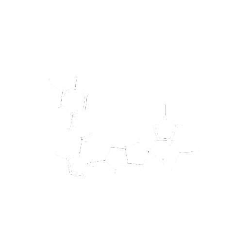 Cn1cc(C2(O)CC3CC(c4ncn(C)c4C(=O)Nc4ccc(F)c(Cl)c4)CC3C2)c(C(F)F)n1